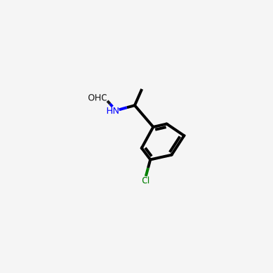 CC(NC=O)c1cccc(Cl)c1